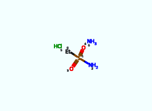 CCS(N)(=O)=O.Cl.N